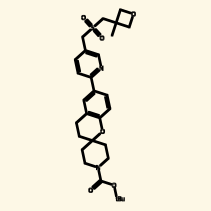 CC1(CS(=O)(=O)Cc2ccc(-c3ccc4c(c3)CCC3(CCN(C(=O)OC(C)(C)C)CC3)O4)nc2)COC1